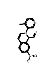 Cc1ccncc1N1C=Cc2ccc([N+](=O)[O-])cc2C1C=O